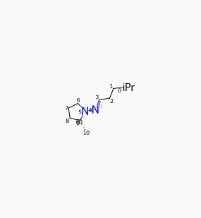 CC(C)CC/C=N/N1CCC[C@H]1C